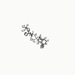 Cn1c(C2CCN(C(=O)OC(C)(C)C)CC2)cc2c(Br)cccc21